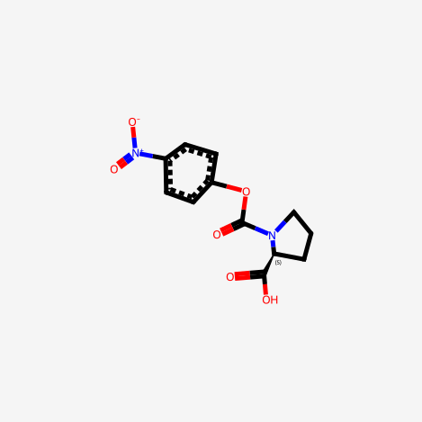 O=C(O)[C@@H]1CCCN1C(=O)Oc1ccc([N+](=O)[O-])cc1